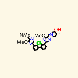 CNCc1ncc(-c2cccc(-c3cccc(-c4cnc(CN5CC[C@@H](C)C(O)C5)c(OC)n4)c3Cl)c2Cl)nc1OC